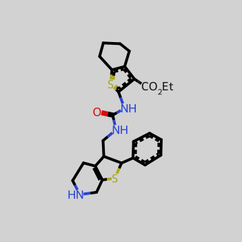 CCOC(=O)c1c(NC(=O)NCC2C3=C(CNCC3)SC2c2ccccc2)sc2c1CCCC2